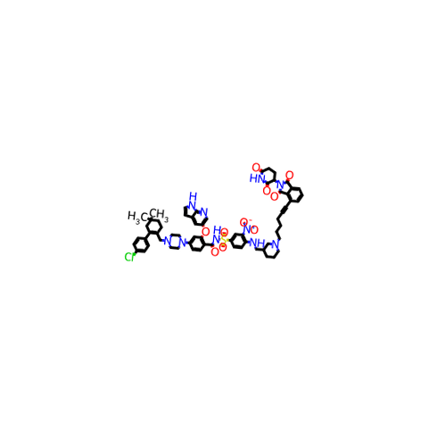 CC1(C)CCC(CN2CCN(c3ccc(C(=O)NS(=O)(=O)c4ccc(NCC5CCCN(CCCCC#Cc6cccc7c6C(=O)N(C6CCC(=O)NC6=O)C7=O)C5)c([N+](=O)[O-])c4)c(Oc4cnc5[nH]ccc5c4)c3)CC2)=C(c2ccc(Cl)cc2)C1